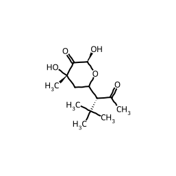 CC(=O)[C@@H](C1C[C@](C)(O)C(=O)[C@@H](O)O1)C(C)(C)C